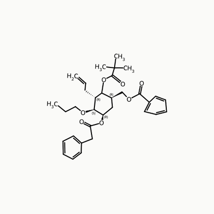 C=CC[C@@H]1C(OC(=O)C(C)(C)C)[C@@H](COC(=O)c2ccccc2)C[C@@H](OC(=O)Cc2ccccc2)[C@H]1OCCC